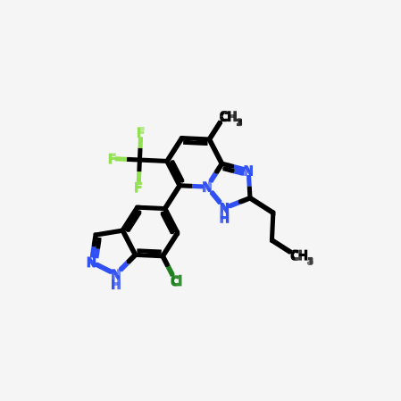 CCCC1N=C2C(C)=CC(C(F)(F)F)=C(c3cc(Cl)c4[nH]ncc4c3)N2N1